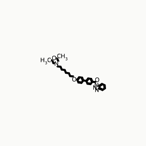 CC1CN(CCCCCCCCOc2ccc(-c3ccc(C(=O)n4nnc5ccccc54)cc3)cc2)CC(C)O1